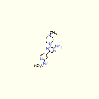 CN1CCCN(c2nc(-c3ccnc(NC(=O)O)c3)cnc2N)CC1